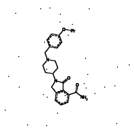 CC(C)Oc1ccc(CN2CCC(N3Cc4cccc(C(N)=O)c4C3=O)CC2)cc1